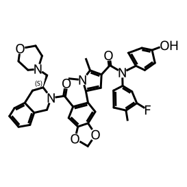 Cc1ccc(N(C(=O)c2cc(-c3cc4c(cc3C(=O)N3Cc5ccccc5C[C@H]3CN3CCOCC3)OCO4)n(C)c2C)c2ccc(O)cc2)cc1F